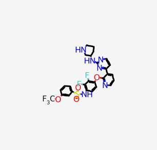 O=S(=O)(Nc1ccc(Oc2ncccc2-c2ccnc(N[C@H]3CCCNC3)n2)c(F)c1F)c1cccc(OC(F)(F)F)c1